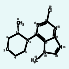 C[C@H]1COCCN1c1nc(Cl)nc2ncn(C)c12